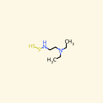 CCN(CC)CCNSS